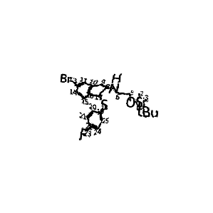 CC(C)(C)[Si](C)(C)OCCNC1Cc2cc(Br)ccc2C1Sc1ccc(F)cc1